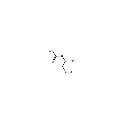 CCCC(=O)OC(CCC)CC(=O)OCC